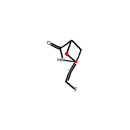 O=C1NC23CC1C2C/C3=C/F